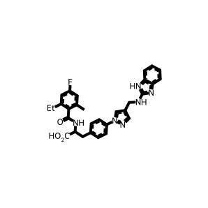 CCc1cc(F)cc(C)c1C(=O)NC(Cc1ccc(-n2cc(CNc3nc4ccccc4[nH]3)cn2)cc1)C(=O)O